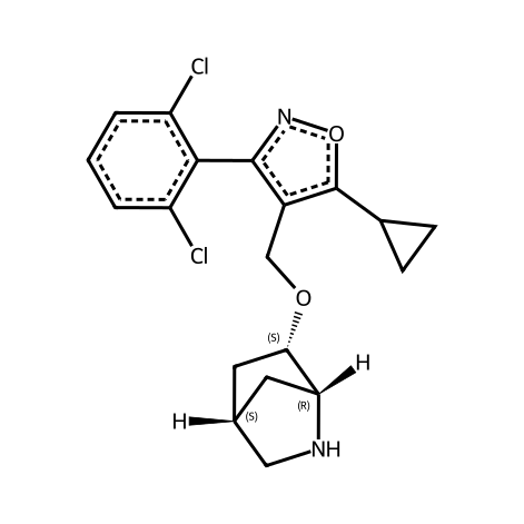 Clc1cccc(Cl)c1-c1noc(C2CC2)c1CO[C@H]1C[C@H]2CN[C@@H]1C2